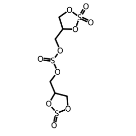 O=S(OCC1COS(=O)O1)OCC1COS(=O)(=O)O1